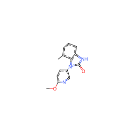 COc1ccc(-n2c(=O)[nH]c3cccc(C)c32)cn1